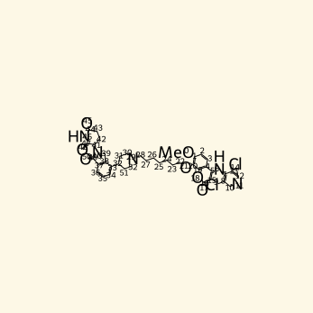 COc1ccc2c(Nc3c(Cl)cncc3Cl)cc(=O)oc2c1OCCCCCCCN1CCC(c2cccc3c2CN(C2CCC(=O)NC2=O)C3=O)CC1